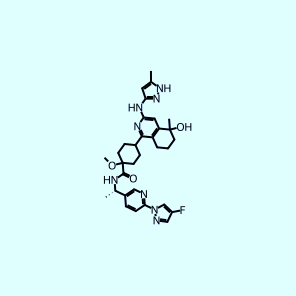 COC1(C(=O)N[C@@H](C)c2ccc(-n3cc(F)cn3)nc2)CCC(c2nc(Nc3cc(C)[nH]n3)cc3c2CCCC3(C)O)CC1